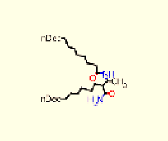 CCCCCCCCCCCCCCCCCC(=O)NC(C)C(CCCCCCCCCCCCCCCC)C(N)=O